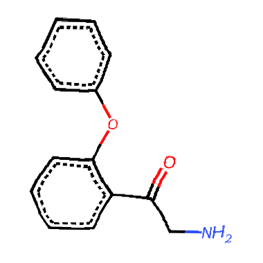 NCC(=O)c1ccccc1Oc1ccccc1